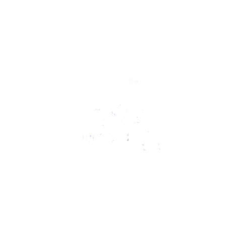 [2H]C(n1c(-c2ccccc2)c(/C(F)=C/Cc2ccccc2)c2cc(OC)ccc21)C(C)(C)C(N)=O